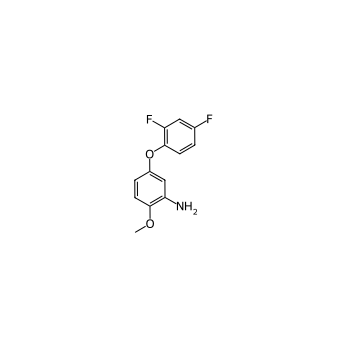 COc1ccc(Oc2ccc(F)cc2F)cc1N